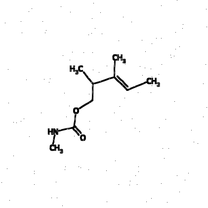 C/C=C(\C)C(C)COC(=O)NC